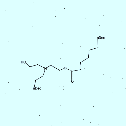 CCCCCCCCCCCCCCCC(=O)OCCN(CCO)CCCCCCCCCCCC